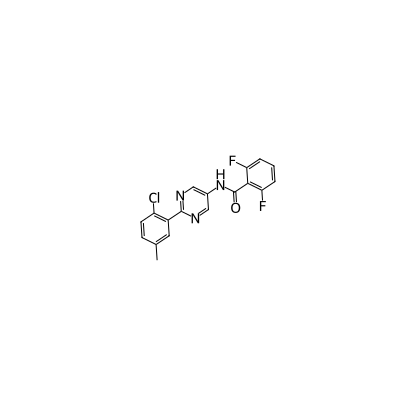 Cc1ccc(Cl)c(-c2ncc(NC(=O)c3c(F)cccc3F)cn2)c1